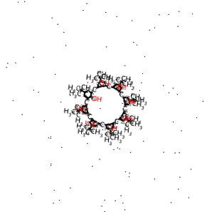 CC(C)(C)C1=CC2CC3=CC(C(C)(C)C)=CC(CC4=CC(C(C)(C)C)=CC(CC5C=C(C(C)(C)C)C=C(CC6C=C(C(C)(C)C)C=C(CC7=CC(C(C)(C)C)=CC(CC8C=C(C(C)(C)C)C=C(CC9C=C(C(C)(C)C)C=C(CC(=C1)C2O)C9O)C8O)C7O)C6O)C5O)C4O)C3O